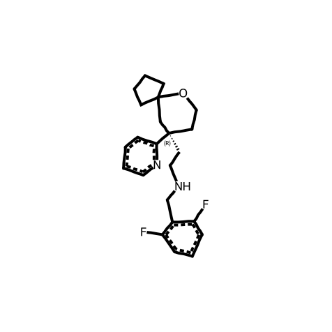 Fc1cccc(F)c1CNCC[C@@]1(c2ccccn2)CCOC2(CCCC2)C1